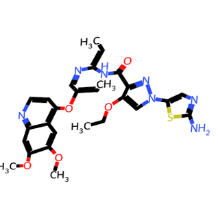 C\C=C(/N=C\C(=C/C)Oc1ccnc2cc(OC)c(OC)cc12)NC(=O)c1nn(-c2cnc(N)s2)cc1OCC